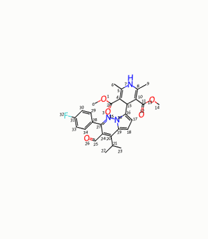 COC(=O)C1=C(C)NC(C)=C(C(=O)OC)C1c1ccc2c(C(C)C)c(C=O)c(-c3ccc(F)cc3)nn12